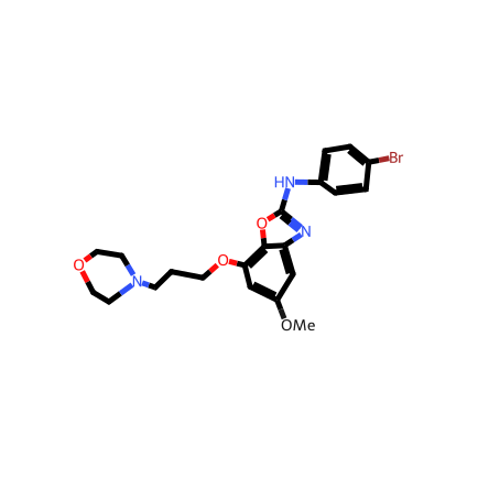 COc1cc(OCCCN2CCOCC2)c2oc(Nc3ccc(Br)cc3)nc2c1